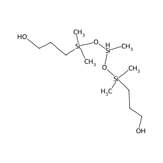 C[SiH](O[Si](C)(C)CCCO)O[Si](C)(C)CCCO